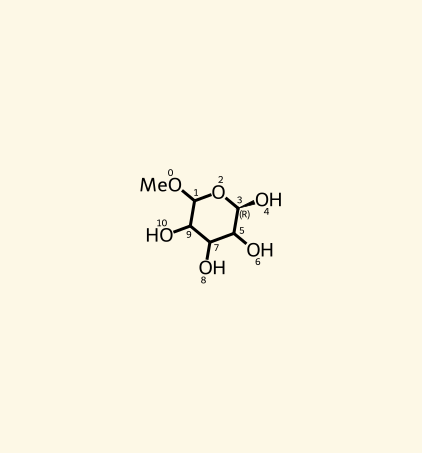 COC1O[C@@H](O)C(O)C(O)C1O